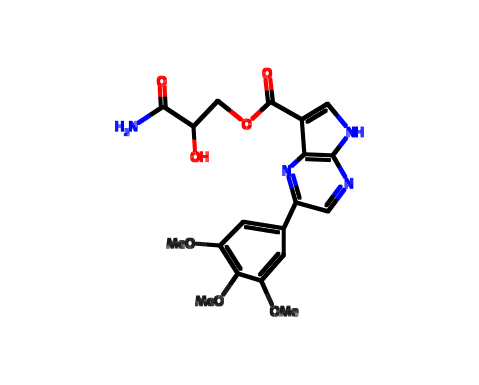 COc1cc(-c2cnc3[nH]cc(C(=O)OCC(O)C(N)=O)c3n2)cc(OC)c1OC